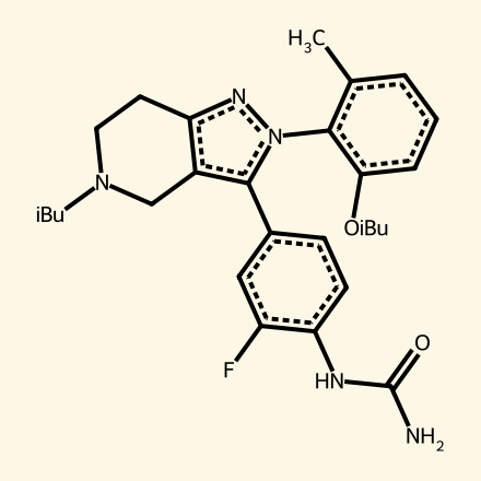 CCC(C)N1CCc2nn(-c3c(C)cccc3OCC(C)C)c(-c3ccc(NC(N)=O)c(F)c3)c2C1